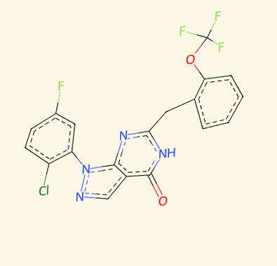 O=c1[nH]c(Cc2ccccc2OC(F)(F)F)nc2c1cnn2-c1cc(F)ccc1Cl